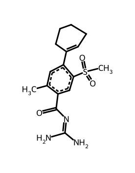 Cc1cc(C2=CCCCC2)c(S(C)(=O)=O)cc1C(=O)N=C(N)N